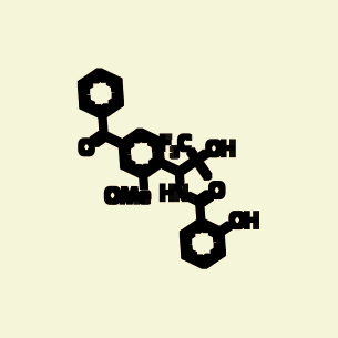 COc1cc(C(=O)c2ccccc2)ccc1C(NC(=O)c1ccccc1O)C(C)(O)C(F)(F)F